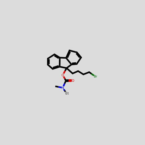 CCN(C)C(=O)OC1(CCCCBr)c2ccccc2-c2ccccc21